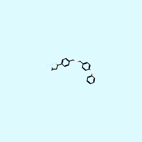 O=C1CC(c2ccc(COCc3ccc(Oc4ccccc4)cc3)cc2)S(=O)(=O)N1